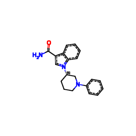 NC(=O)c1cn([C@H]2CCCN(c3ccccc3)C2)c2ccccc12